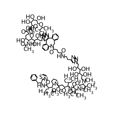 CCC(C)C(C(CC(=O)N1CCCC1C(OC)C(C)C(=O)NC(Cc1ccccc1)c1nccs1)OC)N(C)C(=O)C(NC(=O)C(C(C)C)N(C)CC(O)C(O)C(O)C(O)Cn1cc(CCNC(=O)CCC(=O)N2Cc3ccccc3-c3nnn(CC(O)C(O)C4OC(OCC5OC(OC(C)C(C)C)C(O)C(O)C5O)(C(=O)O)CC(O)C4NC(C)=O)c3-c3ccccc32)nn1)C(C)C